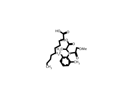 CCCCCCCCCC(=O)O.COCC(=O)N(c1c(C)cccc1C)C(C)C(=O)OC